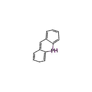 C1=CC2=Cc3ccccc3PC2=CC1